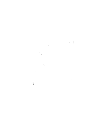 [2H]C1SC(C)=NN1c1ccccc1C(N)=O